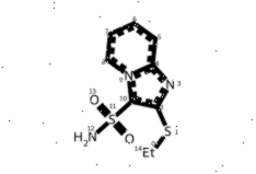 CCSc1nc2ccccn2c1S(N)(=O)=O